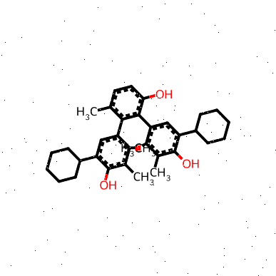 Cc1ccc(O)c(-c2cc(C3CCCCC3)c(O)c(C)c2C)c1-c1cc(C2CCCCC2)c(O)c(C)c1C